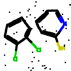 Clc1ccccc1Cl.Sc1ccccn1